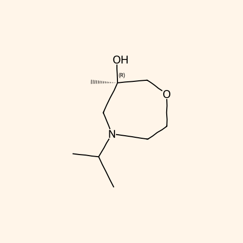 CC(C)N1CCOC[C@](C)(O)C1